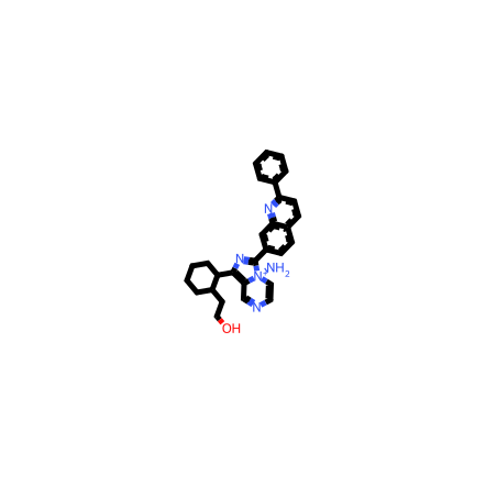 N[N+]12C=CN=CC1=C(C1CCCCC1CCO)N=C2c1ccc2ccc(-c3ccccc3)nc2c1